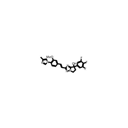 COc1cc(C=Cc2nc3n(n2)CCC3(O)c2cc(F)c(F)c(F)c2)ccc1-n1cnc(C)c1